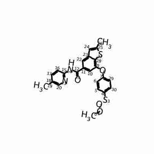 COOSc1ccc(Oc2cc(C(=O)Nc3ccc(C)cn3)cc3cc(C)sc23)cc1